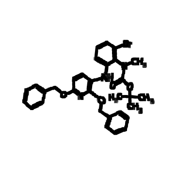 CN(C(=O)OC(C)(C)C)c1c(Br)cccc1Nc1ccc(OCc2ccccc2)nc1OCc1ccccc1